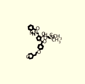 C[Si](C)(C)CCOC(=O)[C@H]1[C@H](Cn2nnc3ccccc3c2=O)CC[C@@H]1C(=O)c1ccc(OCCC2CCOCC2)cc1